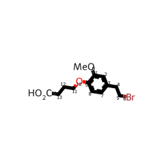 COc1cc(CCBr)ccc1OCCCC(=O)O